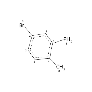 Cc1ccc(Br)cc1P